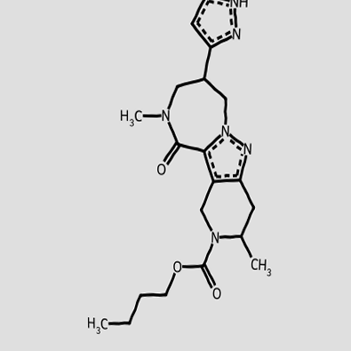 CCCCOC(=O)N1Cc2c(nn3c2C(=O)N(C)CC(c2cc[nH]n2)C3)CC1C